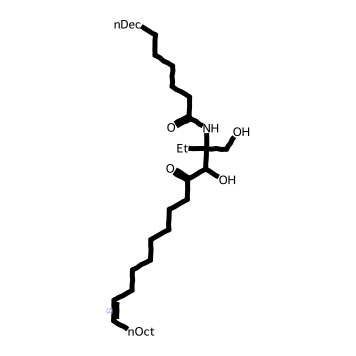 CCCCCCCC/C=C\CCCCCCCC(=O)C(O)C(CC)(CO)NC(=O)CCCCCCCCCCCCCCC